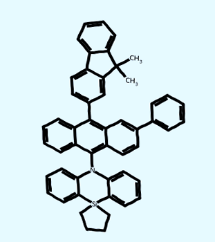 CC1(C)c2ccccc2-c2ccc(-c3c4ccccc4c(N4c5ccccc5[Si]5(CCCC5)c5ccccc54)c4ccc(-c5ccccc5)cc34)cc21